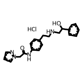 Cl.O=C(Cn1cccn1)Nc1ccc(CCNCC(O)c2ccccc2)cc1